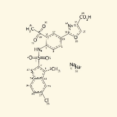 Cc1c(S(=O)(=O)Nc2ccc(-c3nc(C(=O)O)co3)cc2S(C)(=O)=O)sc2ccc(Cl)cc12.[Na].[Na]